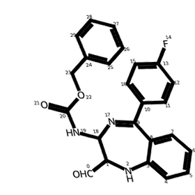 O=CC1Nc2ccccc2C(c2ccc(F)cc2)=NC1NC(=O)OCc1ccccc1